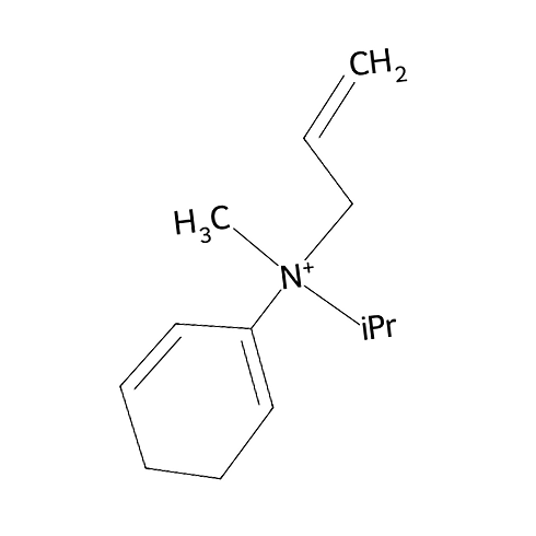 C=CC[N+](C)(C1=CCCC=C1)C(C)C